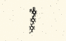 CCC1CCC(CCC2CC=C(CCc3ccc(F)c(F)c3)CC2)CC1